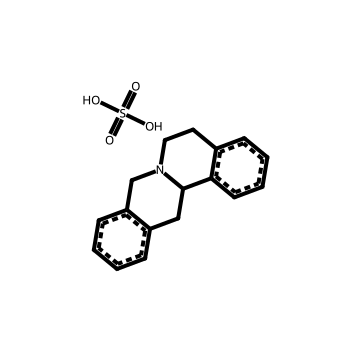 O=S(=O)(O)O.c1ccc2c(c1)CC1c3ccccc3CCN1C2